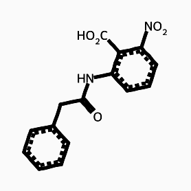 O=C(Cc1ccccc1)Nc1cccc([N+](=O)[O-])c1C(=O)O